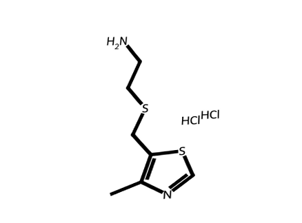 Cc1ncsc1CSCCN.Cl.Cl